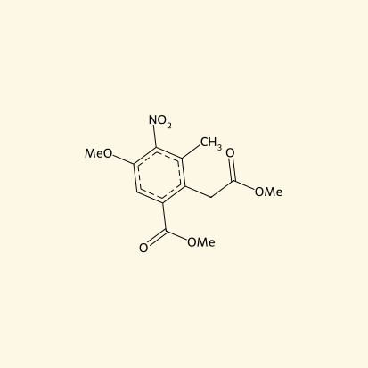 COC(=O)Cc1c(C(=O)OC)cc(OC)c([N+](=O)[O-])c1C